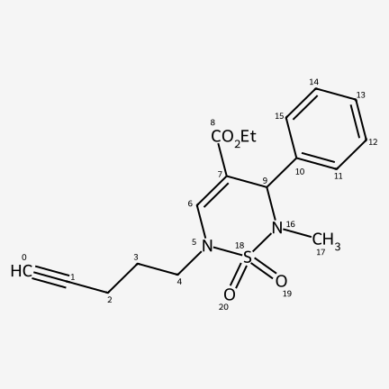 C#CCCCN1C=C(C(=O)OCC)C(c2ccccc2)N(C)S1(=O)=O